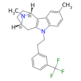 Cc1ccc2c(c1)c1c(n2CCc2cccc(C(F)(F)F)c2)C[C@@H]2CC[C@H]1N2C